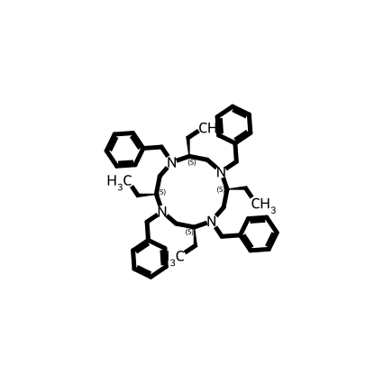 CC[C@H]1CN(Cc2ccccc2)[C@@H](CC)CN(Cc2ccccc2)[C@@H](CC)CN(Cc2ccccc2)[C@@H](CC)CN1Cc1ccccc1